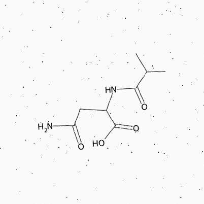 CC(C)C(=O)NC(CC(N)=O)C(=O)O